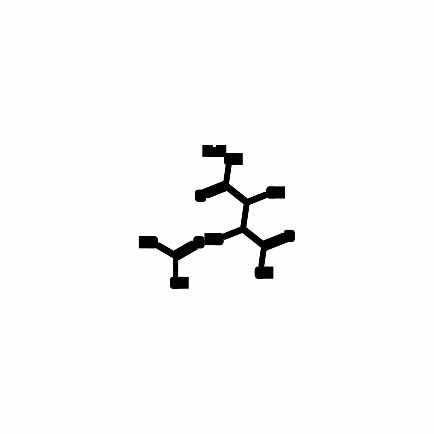 O=C(O)C(O)C(O)C(=O)O.O=C(O)O.[NaH]